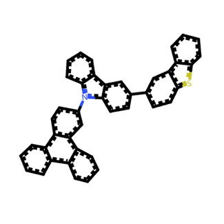 c1ccc2c(c1)sc1ccc(-c3ccc4c(c3)c3ccccc3n4-c3ccc4c5ccccc5c5ccccc5c4c3)cc12